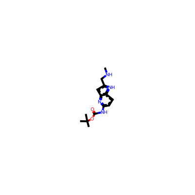 CNCc1cc2nc(NC(=O)OC(C)(C)C)ccc2[nH]1